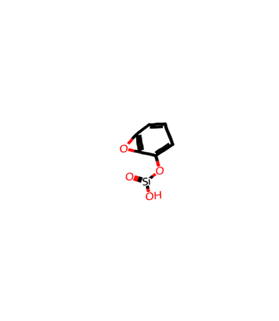 O=[Si](O)Oc1cccc2c1O2